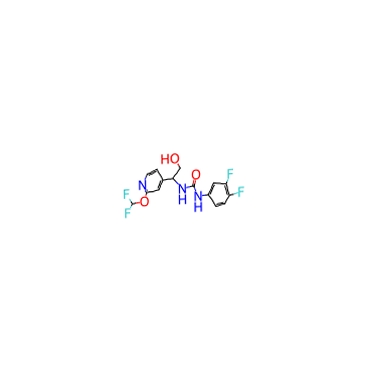 O=C(Nc1ccc(F)c(F)c1)NC(CO)c1ccnc(OC(F)F)c1